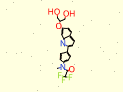 CN(C(=O)C(F)(F)F)c1ccc(-c2ccc3ccc(OC(CO)CO)cc3n2)cc1